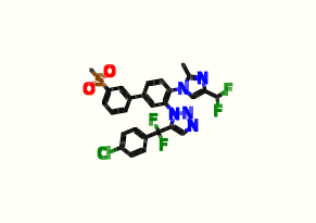 Cc1nc(C(F)F)cn1-c1ccc(-c2cccc(S(C)(=O)=O)c2)cc1-n1nncc1C(F)(F)c1ccc(Cl)cc1